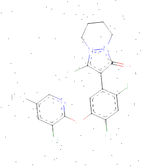 O=c1c(-c2cc(Oc3ncc(C(F)(F)F)cc3Cl)c(Cl)cc2F)c(Cl)n2n1CCCC2